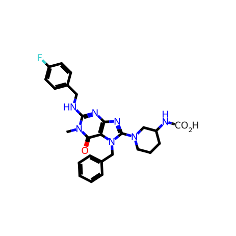 Cn1c(NCc2ccc(F)cc2)nc2nc(N3CCCC(NC(=O)O)C3)n(Cc3ccccc3)c2c1=O